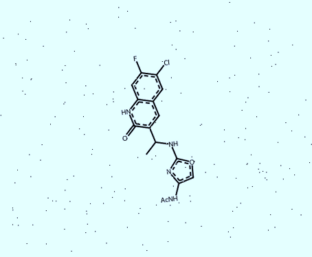 CC(=O)Nc1coc(NC(C)c2cc3cc(Cl)c(F)cc3[nH]c2=O)n1